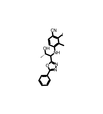 Cc1c(NC(c2nnc(-c3ccccc3)o2)[C@H](C)O)ccc(C#N)c1I